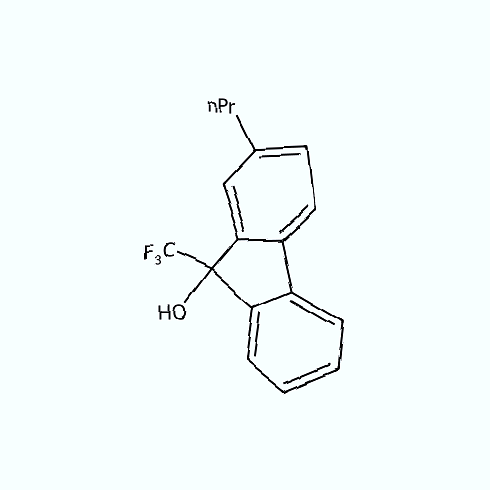 CCCc1ccc2c(c1)C(O)(C(F)(F)F)c1ccccc1-2